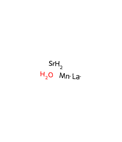 O.[La].[Mn].[SrH2]